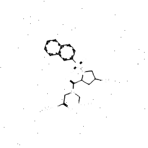 COC(=O)CN(CC(=O)O)C(=O)C1CC(S)CN1S(=O)(=O)c1ccc2ccccc2c1